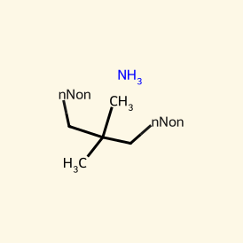 CCCCCCCCCCC(C)(C)CCCCCCCCCC.N